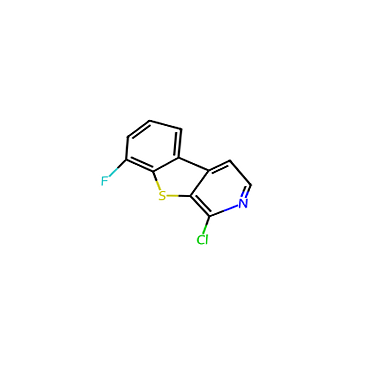 Fc1cccc2c1sc1c(Cl)nccc12